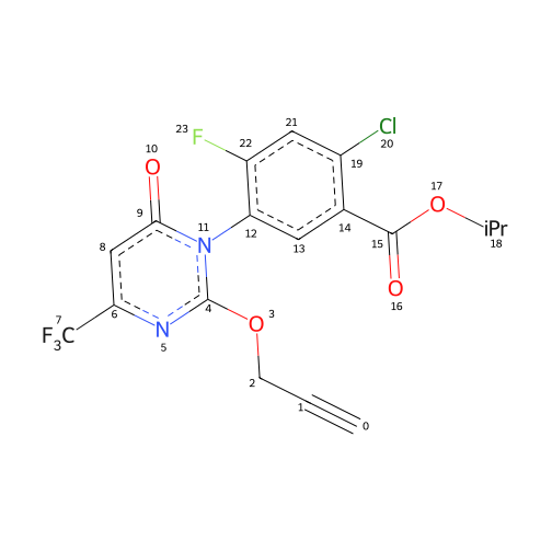 C#CCOc1nc(C(F)(F)F)cc(=O)n1-c1cc(C(=O)OC(C)C)c(Cl)cc1F